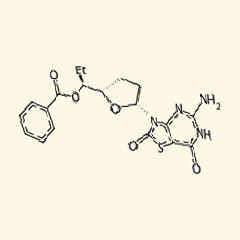 CC[C@H](OC(=O)c1ccccc1)[C@@H]1CC[C@H](n2c(=O)sc3c(=O)[nH]c(N)nc32)O1